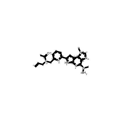 BN(C)c1nc2[nH]c(-c3cccc(CN(CC=C)C(C)=O)n3)cc2c2c1ncn2C